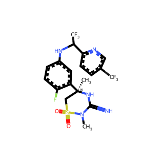 CN1C(=N)N[C@](C)(c2cc(NC(c3ccc(C(F)(F)F)cn3)C(F)(F)F)ccc2F)CS1(=O)=O